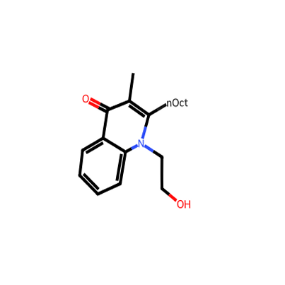 CCCCCCCCc1c(C)c(=O)c2ccccc2n1CCO